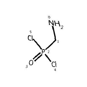 NCP(=O)(Cl)Cl